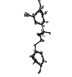 C/C(=N\OCc1ccc(F)cc1)c1ccc(C)c(O)c1